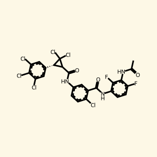 CC(=O)Nc1c(F)ccc(NC(=O)c2cc(NC(=O)C3[C@H](c4cc(Cl)c(Cl)c(Cl)c4)C3(Cl)Cl)ccc2Cl)c1F